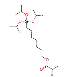 C=C(C)C(=O)OCCCCCCC[Si](OC(C)C)(OC(C)C)OC(C)C